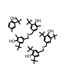 CC(C)(C)c1cc(CSCc2cc(C(C)(C)C)c(O)c(C(C)(C)C)c2)cc(C(C)(C)C)c1O.Cc1cc(CSCc2cc(C)c(O)c(C(C)(C)C)c2)cc(C(C)(C)C)c1O.Cc1ccc(O)c(C(C)(C)C)c1